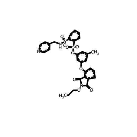 CCCON1C(=O)c2cccc(Oc3cc(C)cc(OS(=O)(=O)c4ccccc4S(=O)(=O)NCc4ccncc4)c3)c2C1=O